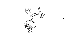 CC(C)Nc1cc(N2CC[C@@H]3NCC[C@@H]3C2)nc(N)n1